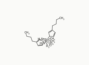 CCCCC1=C[CH]([Zr-6]([CH3])([CH3])([CH3])([CH3])(=[SiH2])(=[SiH2])[CH]2C=CC(CCCC)=C2)C=C1.[Cl-]